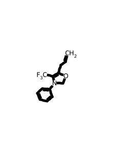 C=CCC1=C(C(F)(F)F)N(c2ccccc2)CO1